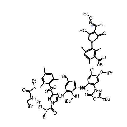 CC(C)Oc1cc(-n2nc(C(C)(C)C)oc2=O)c(Cl)cc1Cl.CCC(C)Nc1c([N+](=O)[O-])cc(C(C)(C)C)cc1[N+](=O)[O-].CCCC(=O)c1c(C)cc(C)c(C2CC(=O)C(/C(CC)=N/OCC)=C(O)C2)c1C.CCN(CC)C(=O)n1cnc(S(=O)(=O)c2c(C)cc(C)cc2C)n1.CCSC(=O)N(CC(C)C)CC(C)C